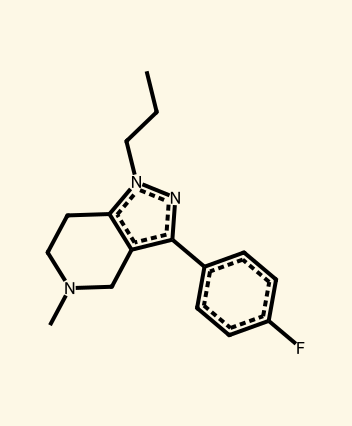 CCCn1nc(-c2ccc(F)cc2)c2c1CCN(C)C2